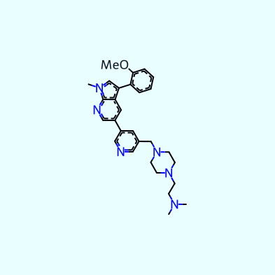 COc1ccccc1-c1cn(C)c2ncc(-c3cncc(CN4CCN(CCN(C)C)CC4)c3)cc12